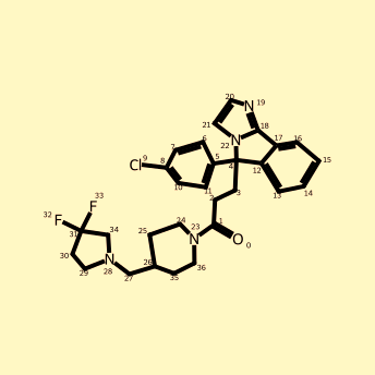 O=C(CCC1(c2ccc(Cl)cc2)c2ccccc2-c2nccn21)N1CCC(CN2CCC(F)(F)C2)CC1